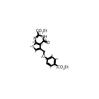 CCOC(=O)c1ccc(OCc2csc3nc(C(=O)OCC)[nH]c(=O)c23)cc1